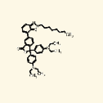 CCCCCCCCn1nc2cccc(-c3ccc4c(c3)C(=O)OC4(c3ccc(N(CC)CC)cc3)c3ccc(N(CC)CC)cc3)c2n1